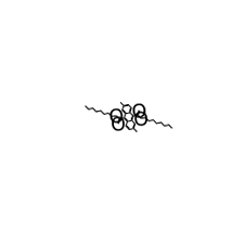 CCCCCCCCOC(=O)c1c2ccc(C)cc2c(C(=O)OCCCCCCCC)c2ccc(C)cc12